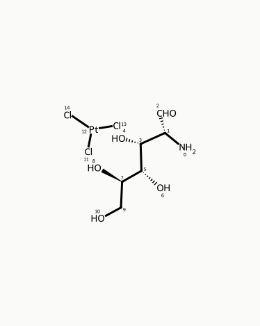 N[C@@H](C=O)[C@@H](O)[C@H](O)[C@H](O)CO.[Cl][Pt]([Cl])[Cl]